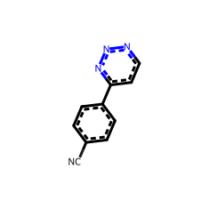 N#Cc1ccc(-c2ccnnn2)cc1